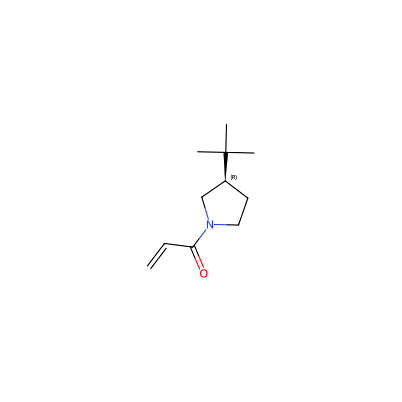 C=CC(=O)N1CC[C@H](C(C)(C)C)C1